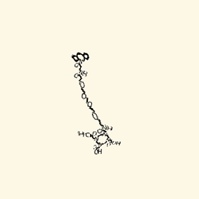 O=C(O)CN1CCN(CC(=O)O)CCN(CC(=O)NCCOCCOCCOCCOCCC(=O)NCCC(=O)N2Cc3ccccc3C#Cc3ccccc32)CCN(CC(=O)O)CC1